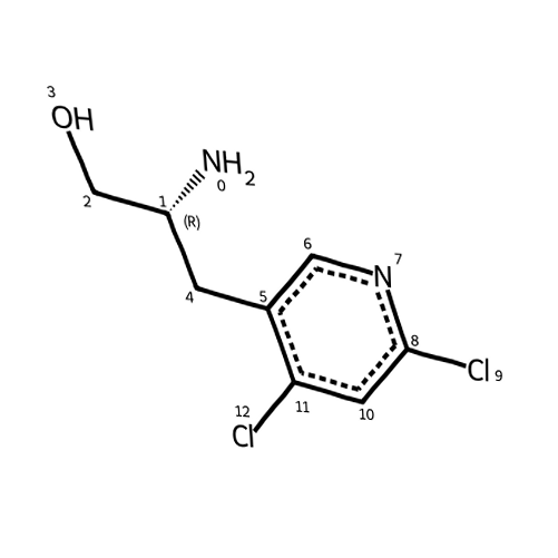 N[C@@H](CO)Cc1cnc(Cl)cc1Cl